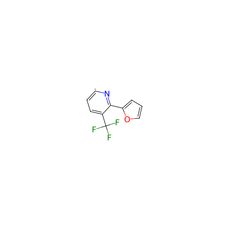 FC(F)(F)c1cc[c]nc1-c1ccco1